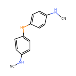 N#CNc1ccc(Pc2ccc(NC#N)cc2)cc1